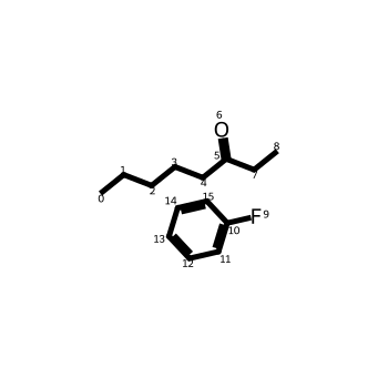 CCCCCC(=O)CC.Fc1ccccc1